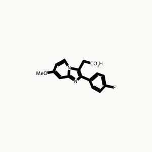 COc1ccn2c(CC(=O)O)c(-c3ccc(F)cc3)nc2c1